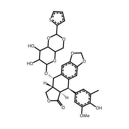 COc1cc([C@@H]2c3cc4c(cc3[C@@H](OC3OC5COC(c6cccs6)OC5C(O)C3O)[C@H]3COC(=O)[C@H]23)OCO4)cc(C)c1O